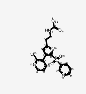 O=C(O)NCCc1cc(-c2cccnc2Cl)c(S(=O)(=O)c2cccnc2)s1